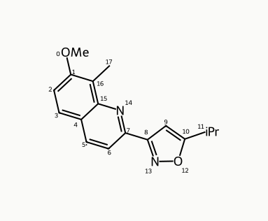 COc1ccc2[c]cc(-c3cc(C(C)C)on3)nc2c1C